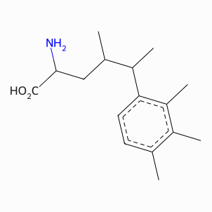 Cc1ccc(C(C)C(C)CC(N)C(=O)O)c(C)c1C